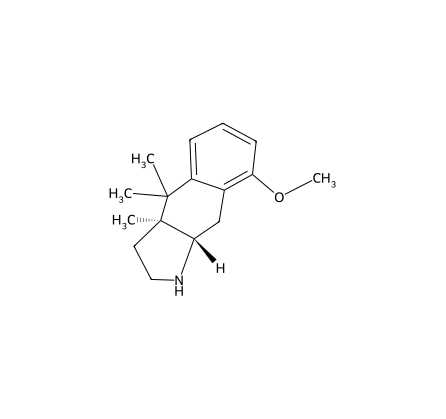 COc1cccc2c1C[C@@H]1NCC[C@@]1(C)C2(C)C